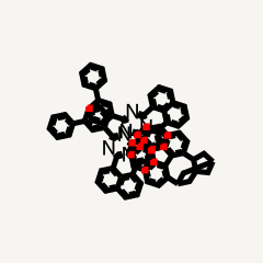 c1ccc(-c2cccc(-c3nc(-c4ccccc4)nc(-c4cccc5cccc(-c6cccc(-c7cccc8c7-c7c(-c9cccc(-c%10cccc%11cccc(-c%12nc(-c%13ccccc%13)nc(-c%13cccc(-c%14ccccc%14)c%13)n%12)c%10%11)c9)cccc7C7CC9CC8CC7C9)c6)c45)n3)c2)cc1